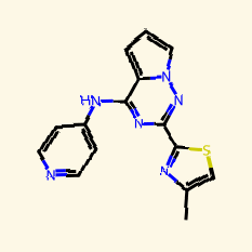 Cc1csc(-c2nc(Nc3ccncc3)c3cccn3n2)n1